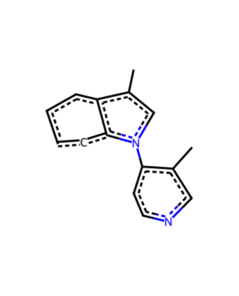 Cc1cnccc1-n1cc(C)c2ccccc21